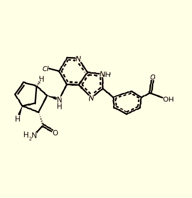 NC(=O)[C@H]1[C@H](Nc2c(Cl)cnc3[nH]c(-c4cccc(C(=O)O)c4)nc23)[C@@H]2C=C[C@@H]1C2